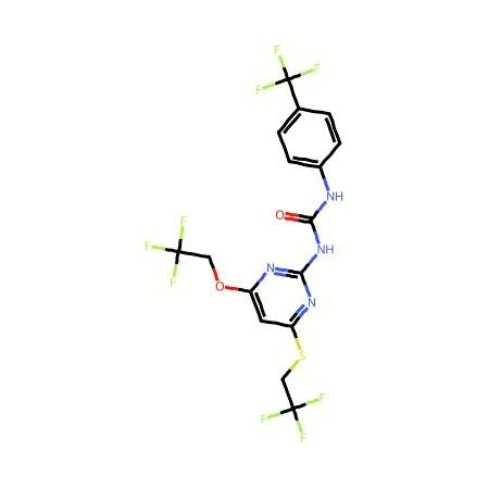 O=C(Nc1ccc(C(F)(F)F)cc1)Nc1nc(OCC(F)(F)F)cc(SCC(F)(F)F)n1